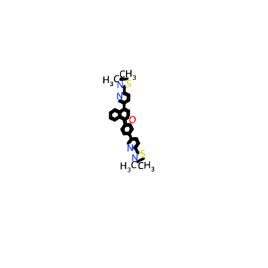 CC1(C)CSC(c2ccc(-c3ccc4c(c3)oc3cc(-c5ccc(C6=NC(C)(C)CS6)nc5)c5ccccc5c34)cn2)=N1